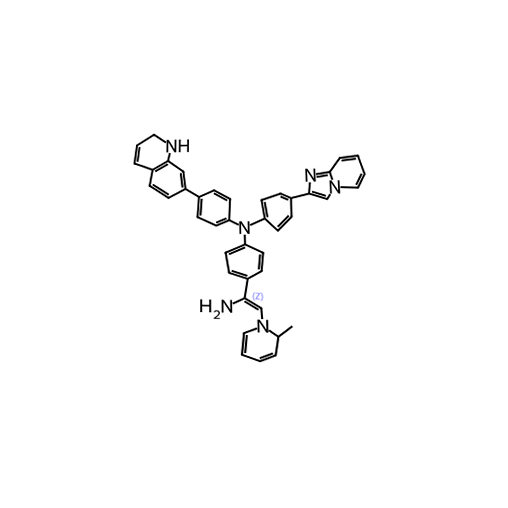 CC1C=CC=CN1/C=C(\N)c1ccc(N(c2ccc(-c3ccc4c(c3)NCC=C4)cc2)c2ccc(-c3cn4ccccc4n3)cc2)cc1